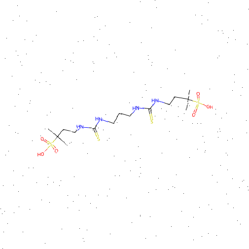 CC(C)(CCNC(=S)NCCCNC(=S)NCCC(C)(C)S(=O)(=O)O)S(=O)(=O)O